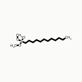 CCCCCCCCCCCC[Si](Cl)(OC)OC